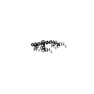 Cc1cc(C[C@@H](OC(=O)N2CCC(N3CCc4ccccc4NC3=O)CC2)C(=O)N2CCN(C3CCN(CC(=O)OCCN(C)C)CC3)CC2)cc(C)c1O